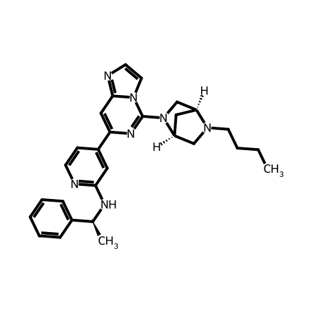 CCCCN1C[C@@H]2C[C@H]1CN2c1nc(-c2ccnc(N[C@@H](C)c3ccccc3)c2)cc2nccn12